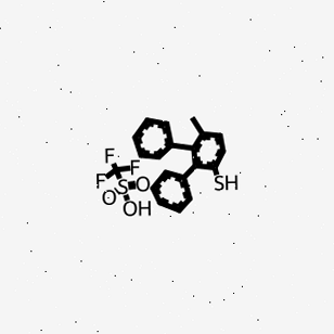 Cc1ccc(S)c(-c2ccccc2)c1-c1ccccc1.O=S(=O)(O)C(F)(F)F